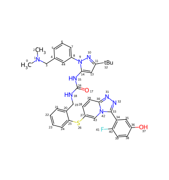 CN(C)Cc1cccc(-n2nc(C(C)(C)C)cc2NC(=O)NCc2ccccc2Sc2ccc3nnc(-c4cc(O)ccc4F)n3c2)c1